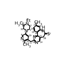 CCN1CCN(c2cnc(C)c(Cc3ncc4c(n3)-c3ccc(C)cc3NC(=S)C4)c2)C[C@@H]1C